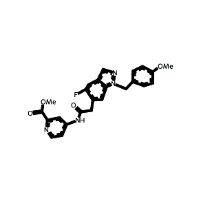 COC(=O)c1cc(NC(=O)Cc2cc3c(cnn3Cc3ccc(OC)cc3)cc2F)ccn1